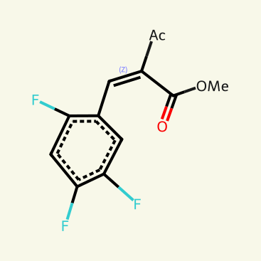 COC(=O)/C(=C\c1cc(F)c(F)cc1F)C(C)=O